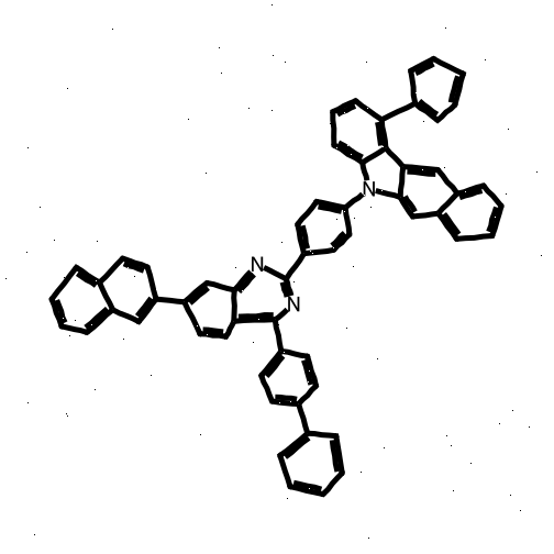 c1ccc(-c2ccc(-c3nc(-c4ccc(-n5c6cc7ccccc7cc6c6c(-c7ccccc7)cccc65)cc4)nc4cc(-c5ccc6ccccc6c5)ccc34)cc2)cc1